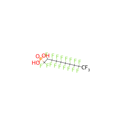 O=P(O)(O)C(F)(F)C(F)C(F)(F)C(F)(F)C(F)(F)C(F)(F)C(F)(F)C(F)(F)C(F)(F)C(F)(F)F